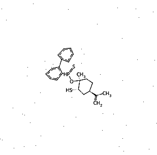 C=C(C)[C@@H]1CC[C@](C)(O[PH](=S)c2ccccc2-c2ccccc2)[C@@H](S)C1